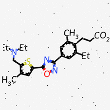 CCc1cc(-c2noc(-c3cc(C)c(CN(CC)CC)s3)n2)cc(C)c1CCC(=O)O